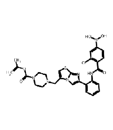 C=C(C)OC(=O)N1CCN(Cc2csc3nc(-c4ccccc4NC(=O)c4ccc(B(O)O)cc4Cl)cn23)CC1